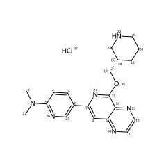 CN(C)c1ccc(-c2cc3nccnc3c(OC[C@H]3CCCNC3)n2)cn1.Cl